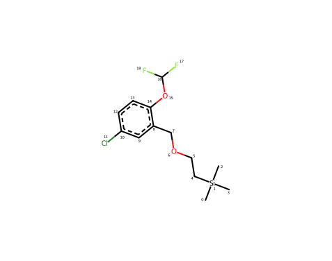 C[Si](C)(C)CCO[CH]c1cc(Cl)ccc1OC(F)F